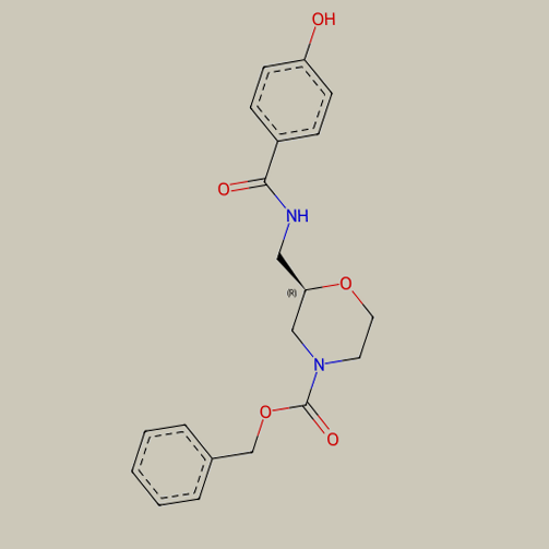 O=C(NC[C@@H]1CN(C(=O)OCc2ccccc2)CCO1)c1ccc(O)cc1